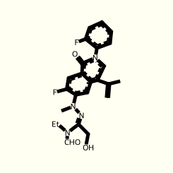 C=C(C)c1cn(-c2ccccc2F)c(=O)c2cc(F)c(N(C)/N=C(/CO)N(C=O)CC)cc12